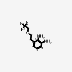 Nc1cccc(CCOCC(F)(F)F)c1N